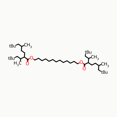 CC(CCC(C(=O)OCCCCCCCCCCCCCOC(=O)C(CCC(C)CC(C)(C)C)C(C)CC(C)(C)C)C(C)CC(C)(C)C)CC(C)(C)C